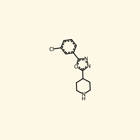 Clc1cccc(-c2nnc(C3CCNCC3)o2)c1